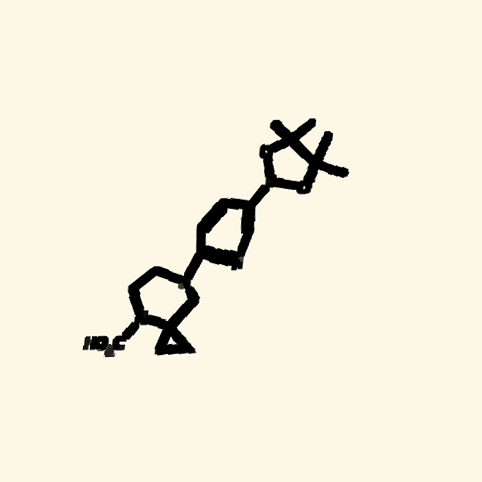 CC1(C)OB(c2ccc(N3CCN(C(=O)O)C4(CC4)C3)nc2)OC1(C)C